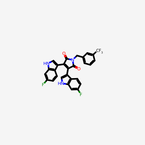 O=C1C(c2c[nH]c3cc(F)ccc23)=C(c2c[nH]c3cc(F)ccc23)C(=O)N1Cc1cccc(C(F)(F)F)c1